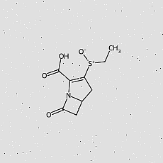 CC[S+]([O-])C1=C(C(=O)O)N2C(=O)CC2C1